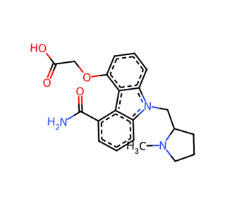 CN1CCCC1Cn1c2cccc(OCC(=O)O)c2c2c(C(N)=O)cccc21